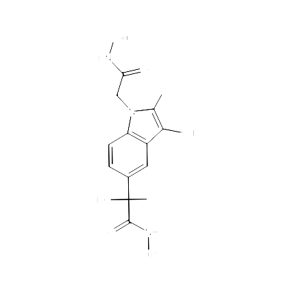 Cc1c(C)n(CC(=O)NC(C)(C)C)c2ccc(C(C)(C)C(=O)NC(C)(C)C)cc12